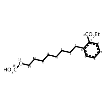 CCOC(=O)c1ccccc1CCCCCCCCOC(=O)O